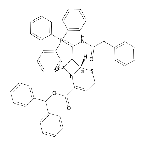 O=C(Cc1ccccc1)NC(C1C(=O)N2C(C(=O)OC(c3ccccc3)c3ccccc3)=CCS[C@@H]12)=P(c1ccccc1)(c1ccccc1)c1ccccc1